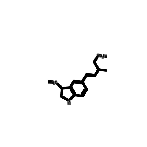 CCOC(=O)CC(C)C=Cc1ccc2c(c1)C(C(=O)O)CN2